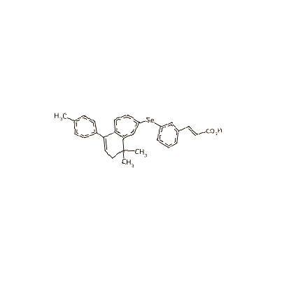 Cc1ccc(C2=CCC(C)(C)c3cc([Se]c4cccc(C=CC(=O)O)c4)ccc32)cc1